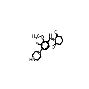 COc1c(NN2C(=O)CCCC2=O)ccc(N2CCNCC2)c1F